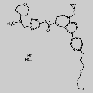 CCCOCCOc1ccc(-c2ccc3c(c2)C=C(C(=O)Nc2ccc(CN(C)C4CCOCC4)cc2)CCN3CC2CC2)cc1.Cl.Cl